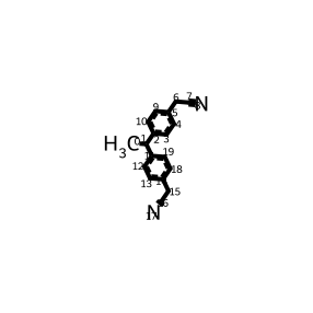 CC(c1ccc(CC#N)cc1)c1ccc(CC#N)cc1